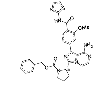 COc1cc(-c2nc([C@@H]3CCCN3C(=O)OCc3ccccc3)n3ccnc(N)c23)ccc1C(=O)Nc1nccs1